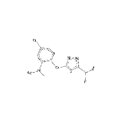 CC(=O)N(C)c1cc(Cl)ccc1Oc1nnc(C(F)F)s1